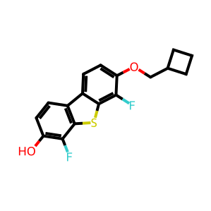 Oc1ccc2c(sc3c(F)c(OCC4CCC4)ccc32)c1F